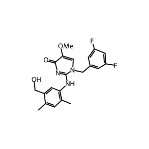 COc1cn(Cc2cc(F)cc(F)c2)c(Nc2cc(CO)c(C)cc2C)nc1=O